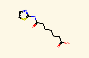 O=C(O)CCCCCC(=O)Nc1nccs1